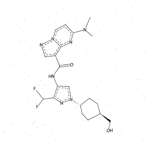 CN(C)c1ccn2ncc(C(=O)Nc3cn([C@H]4CC[C@H](CO)CC4)nc3C(F)F)c2n1